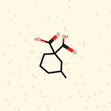 CC1CCCC(C(=O)O)(C(=O)O)C1